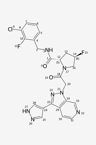 O=C(NCc1cccc(Cl)c1F)[C@@H]1C[C@@H](F)CN1C(=O)Cn1nc(-c2cn[nH]c2)c2ccncc21